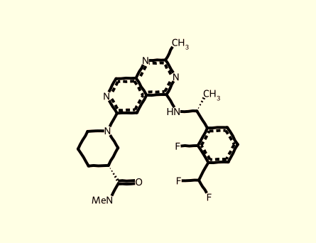 CNC(=O)[C@@H]1CCCN(c2cc3c(N[C@H](C)c4cccc(C(F)F)c4F)nc(C)nc3cn2)C1